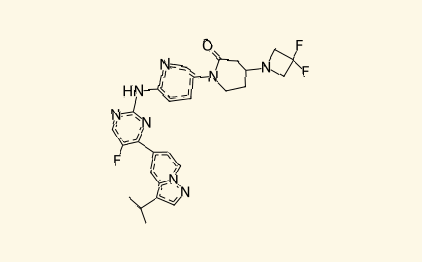 CC(C)c1cnn2ccc(-c3nc(Nc4ccc(N5CCC(N6CC(F)(F)C6)CC5=O)cn4)ncc3F)cc12